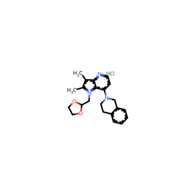 Cc1c(C)n(CC2OCCO2)c2c(N3CCc4ccccc4C3)ccnc12.Cl